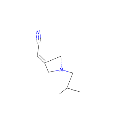 C[C](C)CN1CC(=CC#N)C1